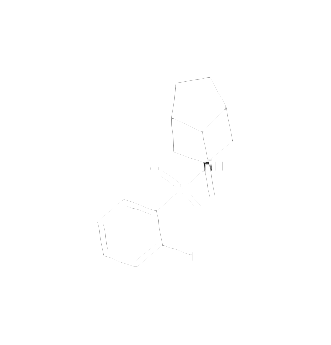 C=C1CC2CCC(C1)C2NS(=O)(=O)c1ccccc1F